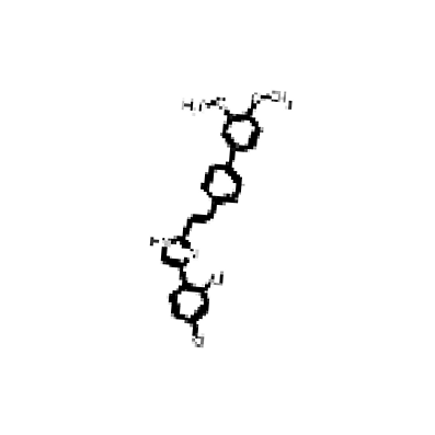 COc1ccc(-c2ccc(C=Cc3nc(-c4ccc(Cl)cc4Cl)c[nH]3)cc2)cc1OC